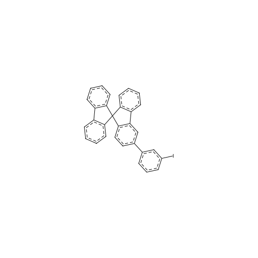 Ic1cccc(-c2ccc3c(c2)-c2ccccc2C32c3ccccc3-c3ccccc32)c1